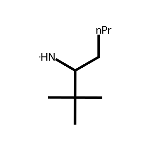 CCCCC([NH])C(C)(C)C